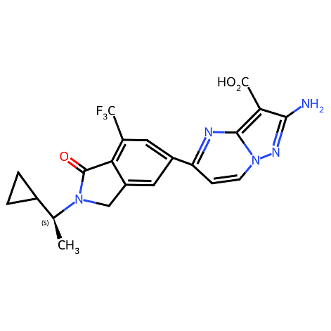 C[C@@H](C1CC1)N1Cc2cc(-c3ccn4nc(N)c(C(=O)O)c4n3)cc(C(F)(F)F)c2C1=O